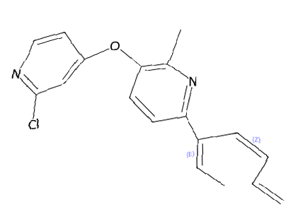 C=C/C=C\C(=C/C)c1ccc(Oc2ccnc(Cl)c2)c(C)n1